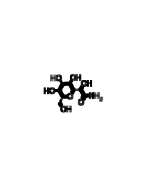 NC(=O)C(O)[C@@H]1O[C@H](CO)[C@@H](O)[C@H](O)[C@H]1O